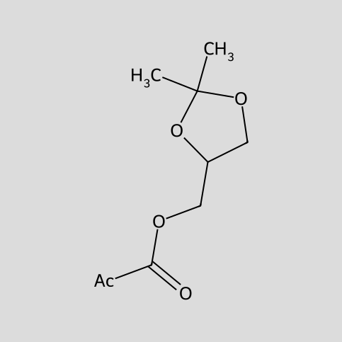 CC(=O)C(=O)OCC1COC(C)(C)O1